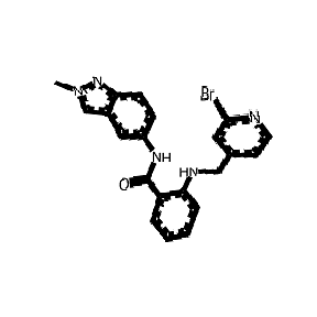 Cn1cc2cc(NC(=O)c3ccccc3NCc3ccnc(Br)c3)ccc2n1